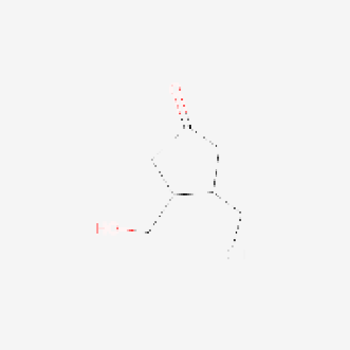 CCC1CC(=O)CC1CO